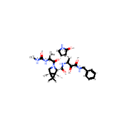 CC(C)(C)NC(=O)NC(C(=O)N1C[C@H]2[C@@H]([C@H]1C(=O)NC(C[C@@H]1CCNC1=O)C(=O)C(=O)NCc1ccccc1)C2(C)C)C(C)(C)C